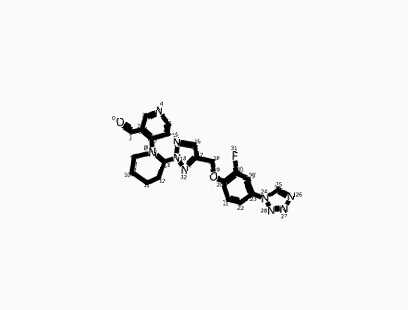 O=Cc1cnccc1N1CCCCC1n1ncc(COc2ccc(-n3cnnn3)cc2F)n1